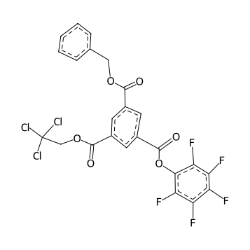 O=C(OCc1ccccc1)c1cc(C(=O)OCC(Cl)(Cl)Cl)cc(C(=O)Oc2c(F)c(F)c(F)c(F)c2F)c1